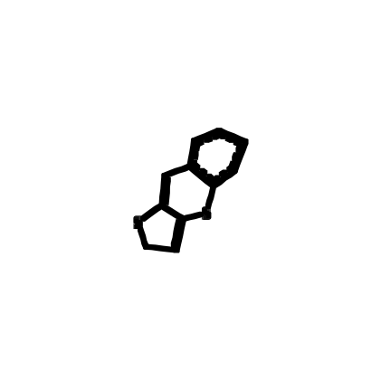 C1=C2SCC=C2Sc2ccccc21